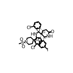 CS(=O)(=O)N1CCC(Oc2ccc(I)cc2[C@H]2NC(=O)C[C@@H](c3cccc(Cl)c3)[C@]23C(=O)Nc2cc(Cl)ccc23)CC1